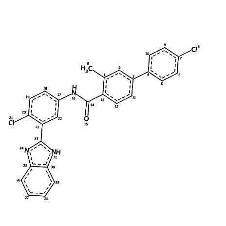 Cc1cc(-c2ccc(Cl)cc2)ccc1C(=O)Nc1ccc(Cl)c(-c2nc3ccccc3[nH]2)c1